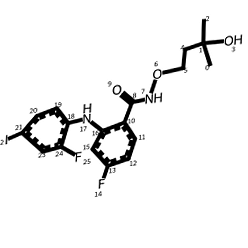 CC(C)(O)CCONC(=O)c1ccc(F)cc1Nc1ccc(I)cc1F